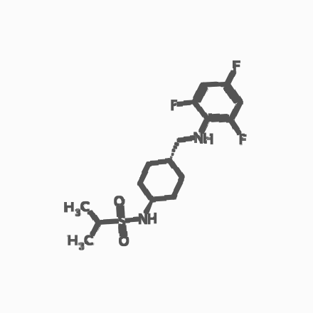 CC(C)S(=O)(=O)N[C@H]1CC[C@H](CNc2c(F)cc(F)cc2F)CC1